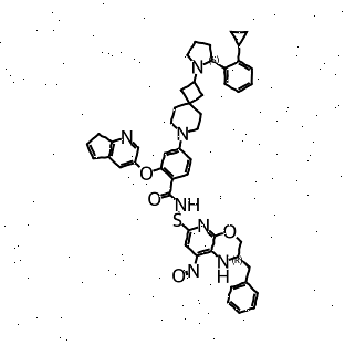 O=Nc1cc(SNC(=O)c2ccc(N3CCC4(CC3)CC(N3CCC[C@H]3c3ccccc3C3CC3)C4)cc2Oc2cnc3c(c2)C=CC3)nc2c1N[C@H](Cc1ccccc1)CO2